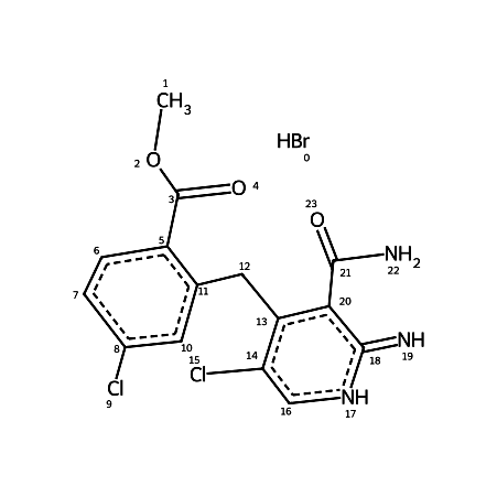 Br.COC(=O)c1ccc(Cl)cc1Cc1c(Cl)c[nH]c(=N)c1C(N)=O